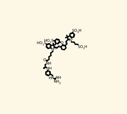 C=C(CNC(=O)CCCCCN1/C(=C/C=C2\CCCC(/C=C/C3=[N+](CCCCS(=O)(=O)O)c4ccc(S(=O)(=O)O)cc4C3(C)C)=C2Oc2ccc(S(=O)(=O)O)cc2)C(C)(C)c2cc(S(=O)(=O)O)ccc21)Nc1cccc(CNC(=N)N)c1